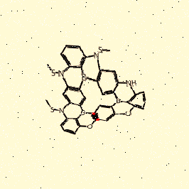 CSN1c2cc3c(cc2B2c4ccccc4Oc4cccc1c42)B1c2cc4c(cc2N(SC)c2cccc(c21)N3SC)Nc1cccc2c1B4c1ccccc1O2